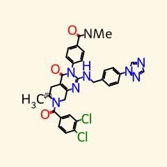 CNC(=O)c1ccc(-n2c(NCc3ccc(-n4cncn4)cc3)nc3c(c2=O)C[C@@H](C)N(C(=O)c2ccc(Cl)c(Cl)c2)C3)cc1